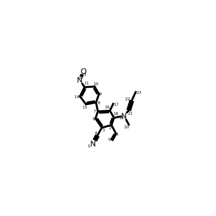 C=Cc1c(C#N)cc(-c2ccc(N=O)cc2)c(C)c1N(C)C#CC